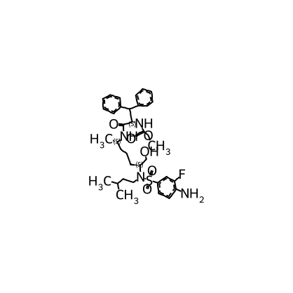 COC(=O)N[C@H](C(=O)N[C@@H](C)CCC[C@@H](CO)N(CCC(C)C)S(=O)(=O)c1ccc(N)c(F)c1)C(c1ccccc1)c1ccccc1